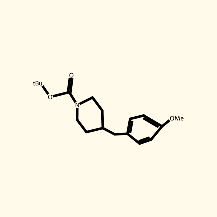 COc1ccc(CC2CCN(C(=O)OC(C)(C)C)CC2)cc1